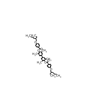 CCCCC(CC)COc1ccc(C(=O)Oc2c(C)cc(-c3cc(C)c(OC(=O)c4ccc(OCC(CC)CCCC)cc4)c(C)c3)cc2C)cc1